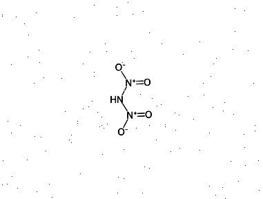 O=[N+]([O-])N[N+](=O)[O-]